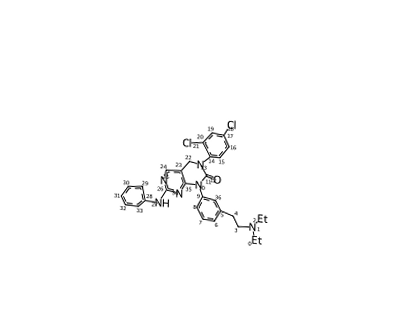 CCN(CC)CCc1cccc(N2C(=O)N(c3ccc(Cl)cc3Cl)Cc3cnc(Nc4ccccc4)nc32)c1